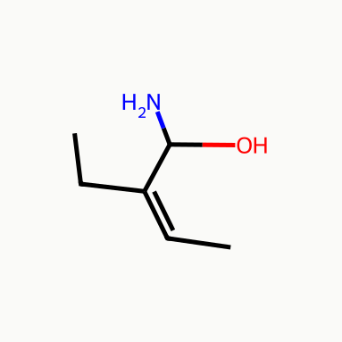 CC=C(CC)C(N)O